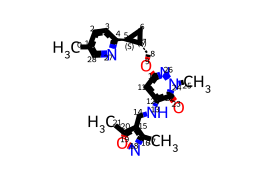 Cc1ccc([C@H]2C[C@@H]2COc2cc(NCc3c(C)noc3C)c(=O)n(C)n2)nc1